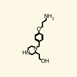 NCCCOc1ccc(CN2CCNCC2CCO)cc1